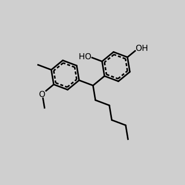 CCCCCC(c1ccc(C)c(OC)c1)c1ccc(O)cc1O